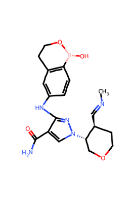 CN=C[C@H]1CCOC[C@@H]1n1cc(C(N)=O)c(Nc2ccc3c(c2)CCOB3O)n1